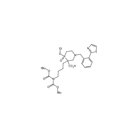 CCOP1(=O)CCN(Cc2ccccc2-c2nccs2)CC1(CCCCN(C(=O)OC(C)(C)C)C(=O)OC(C)(C)C)C(=O)O